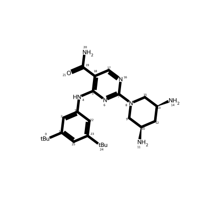 CC(C)(C)c1cc(Nc2nc(N3C[C@H](N)C[C@H](N)C3)ncc2C(N)=O)cc(C(C)(C)C)c1